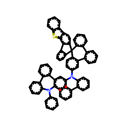 c1ccc(-c2ccccc2N(c2ccc3c(c2)-c2ccccc2-c2ccccc2N3c2ccccc2)c2ccc3c(c2)-c2ccccc2-c2ccccc2C32c3ccccc3-c3c2ccc2c3sc3ccccc32)cc1